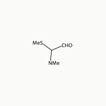 CNC([C]=O)SC